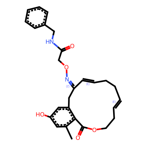 Cc1cc(O)cc2c1C(=O)OCC/C=C/CC/C=C/C(=N\OCC(=O)NCc1ccccc1)C2